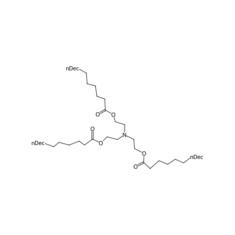 CCCCCCCCCCCCCCCC(=O)OCCN(CCOC(=O)CCCCCCCCCCCCCCC)CCOC(=O)CCCCCCCCCCCCCCC